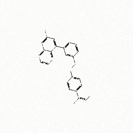 C/C(=C/O)c1ccc(OCc2cccc(-c3cc(C(C)C)cc4cccnc34)c2)cc1